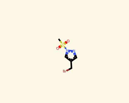 CS(=O)(=O)n1cc(CBr)cn1